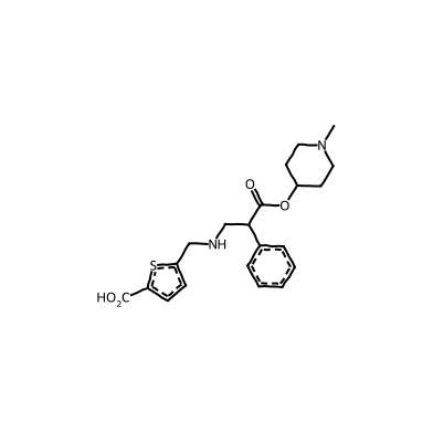 CN1CCC(OC(=O)C(CNCc2ccc(C(=O)O)s2)c2ccccc2)CC1